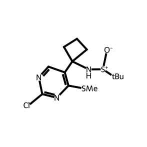 CSc1nc(Cl)ncc1C1(N[S+]([O-])C(C)(C)C)CCC1